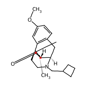 COc1ccc2c(c1)[C@]13CCN(CC4CCC4)[C@H](C2)[C@@H]1[C@@H](C)CC(=O)C3